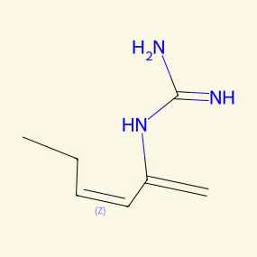 C=C(/C=C\CC)NC(=N)N